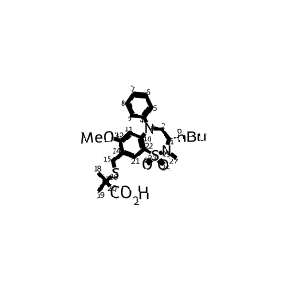 CCCC[C@H]1CN(c2ccccc2)c2cc(OC)c(CSC(C)(C)C(=O)O)cc2S(=O)(=O)N1C